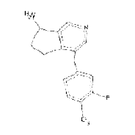 NC1CCc2c(-c3ccc(C(F)(F)F)c(F)c3)cncc21